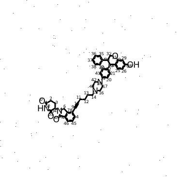 O=C1CCC(N2Cc3c(C#CCCCCN4CCN(c5ccc([C@@H]6c7ccc(O)cc7OCC6c6ccccc6)cc5)CC4)cccc3C2=O)C(=O)N1